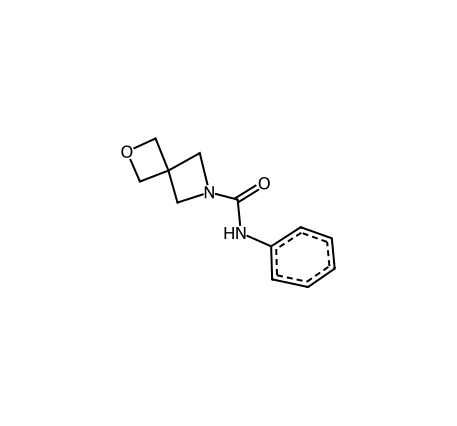 O=C(Nc1ccccc1)N1CC2(COC2)C1